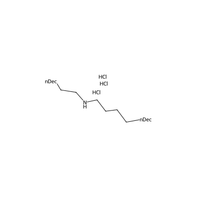 CCCCCCCCCCCCCCNCCCCCCCCCCCC.Cl.Cl.Cl